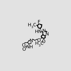 COc1cc2ncnc(Nc3ccc(F)c(C)c3)c2cc1OCCCN1CC2COC(=O)NC2C1